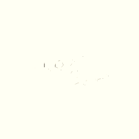 CC(C)(C)OC(=O)Nc1nc(C(=NOC(C)(C)C(=O)O)C(=O)N[C@@H]2C(=O)N[C@H]2CN=[N+]=[N-])cs1